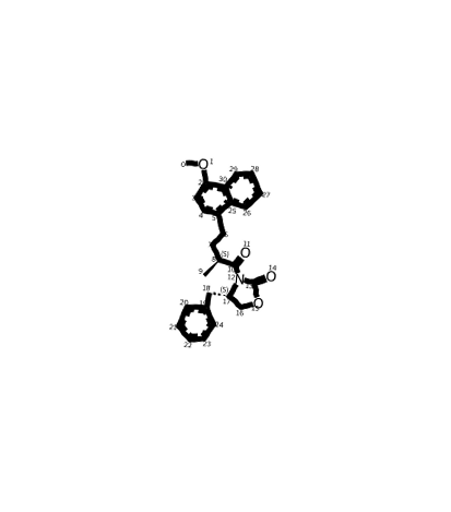 COc1ccc(CC[C@H](C)C(=O)N2C(=O)OC[C@@H]2Cc2ccccc2)c2ccccc12